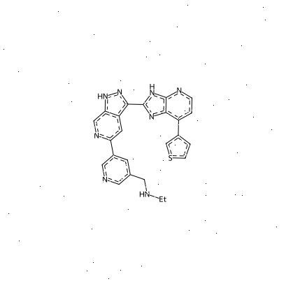 CCNCc1cncc(-c2cc3c(-c4nc5c(-c6ccsc6)ccnc5[nH]4)n[nH]c3cn2)c1